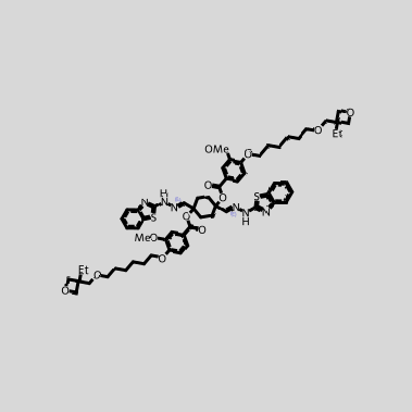 CCC1(COCCCCCCOc2ccc(C(=O)OC3(/C=N/Nc4nc5ccccc5s4)CCC(/C=N/Nc4nc5ccccc5s4)(OC(=O)c4ccc(OCCCCCCOCC5(CC)COC5)c(OC)c4)CC3)cc2OC)COC1